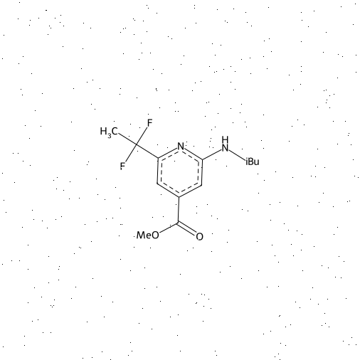 CCC(C)Nc1cc(C(=O)OC)cc(C(C)(F)F)n1